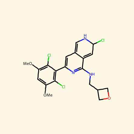 COc1cc(OC)c(Cl)c(-c2cc3c(c(NCC4COC4)n2)=CC(Cl)NC=3)c1Cl